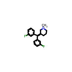 CN1CCCC(=C(c2cccc(F)c2)c2cccc(F)c2)C1